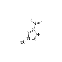 C=C(C)c1cn(C(C)(C)C)cn1